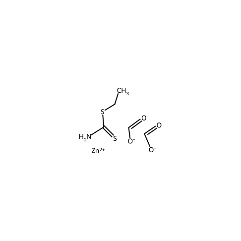 CCSC(N)=S.O=C[O-].O=C[O-].[Zn+2]